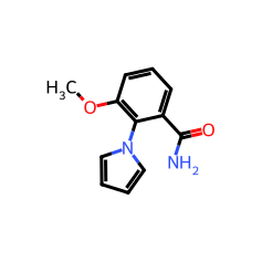 COc1cccc(C(N)=O)c1-n1cccc1